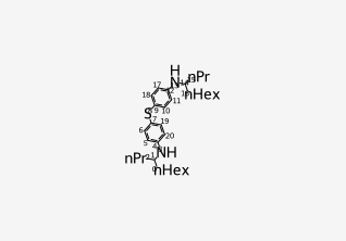 CCCCCCC(CCC)Nc1ccc(Sc2ccc(NC(CCC)CCCCCC)cc2)cc1